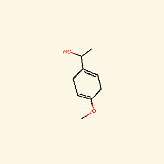 COC1=CCC(C(C)O)=CC1